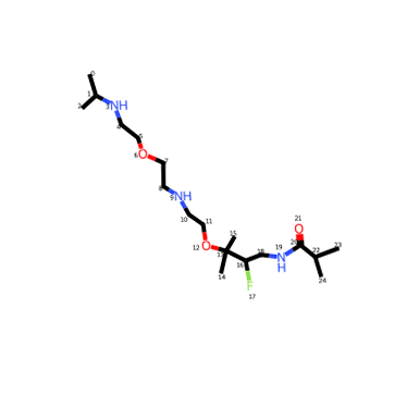 CC(C)NCCOCCNCCOC(C)(C)C(F)CNC(=O)C(C)C